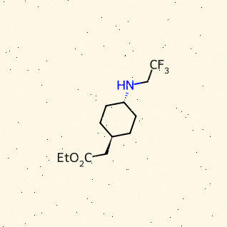 CCOC(=O)C[C@H]1CC[C@H](NCC(F)(F)F)CC1